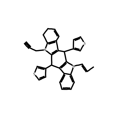 C#CCn1c2c(c3c1C(c1ccsc1)c1c(n(/C=C/C)c4ccccc14)C3c1ccsc1)C=CCC2